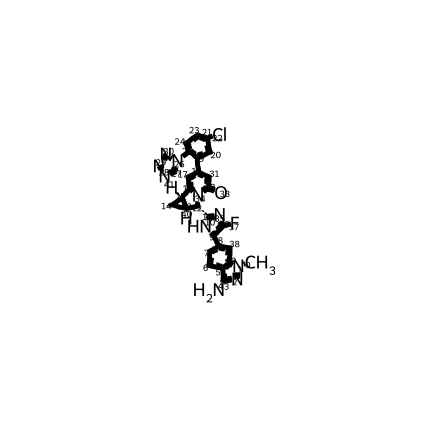 Cn1nc(N)c2ccc(-c3[nH]c([C@@H]4[C@H]5C[C@H]5c5cc(-c6cc(Cl)ccc6-n6cnnn6)cc(=O)n54)nc3F)cc21